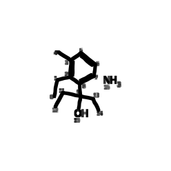 CCc1c(C)cccc1C(O)(CC)CC.N